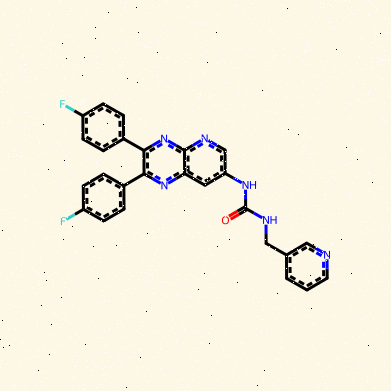 O=C(NCc1cccnc1)Nc1cnc2nc(-c3ccc(F)cc3)c(-c3ccc(F)cc3)nc2c1